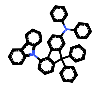 c1ccc(N(c2ccccc2)c2ccc3c(c2)C(c2ccccc2)(c2ccccc2)c2cccc(-n4c5ccccc5c5ccccc54)c2-3)cc1